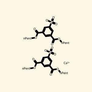 CCCCCOC(=O)c1cc(C(=O)OCCCCC)cc(S(=O)(=O)[O-])c1.CCCCCOC(=O)c1cc(C(=O)OCCCCC)cc(S(=O)(=O)[O-])c1.[Ca+2]